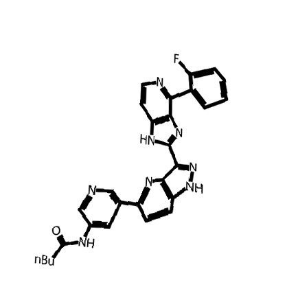 CCCCC(=O)Nc1cncc(-c2ccc3[nH]nc(-c4nc5c(-c6ccccc6F)nccc5[nH]4)c3n2)c1